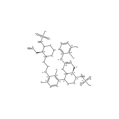 COC[C@H]1C(NS(C)(=O)=O)CCCN1CCOc1c(C)ccc(C2CCC(NS(C)(=O)=O)[C@H](COC)N2CCOc2cccc(C)c2C)c1C